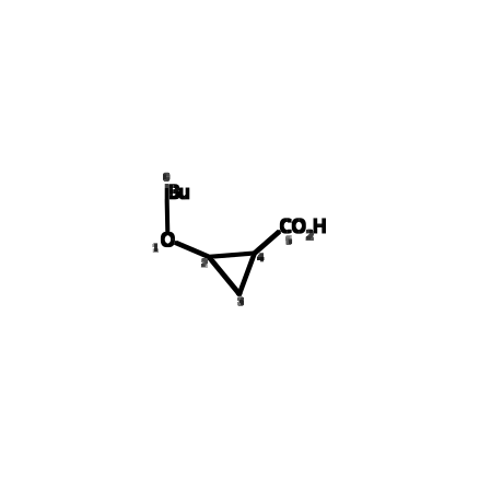 CCC(C)OC1CC1C(=O)O